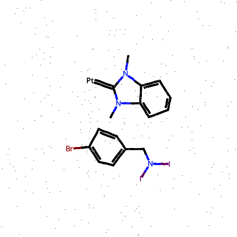 Brc1ccc(CN(I)I)cc1.Cn1[c](=[Pt])n(C)c2ccccc21